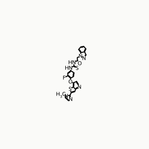 Cn1ccnc1-c1cc2nccc(Oc3ccc(NC(=S)NC(=O)Cn4ncc5ccccc54)cc3F)c2s1